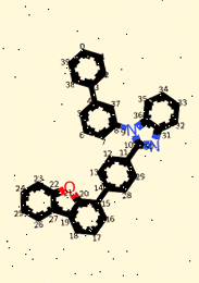 c1ccc(-c2cccc(-n3c(-c4ccc(-c5cccc6c5oc5ccccc56)cc4)nc4ccccc43)c2)cc1